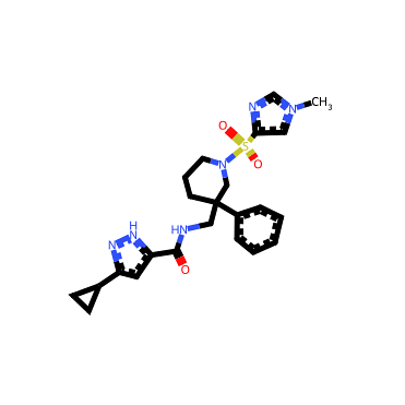 Cn1cnc(S(=O)(=O)N2CCCC(CNC(=O)c3cc(C4CC4)n[nH]3)(c3ccccc3)C2)c1